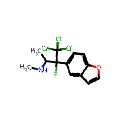 CNC(C)C(F)(c1ccc2occc2c1)C(Cl)(Cl)Cl